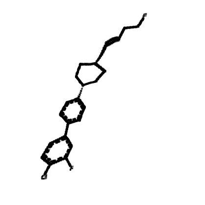 FCC/C=C/[C@H]1CC[C@H](c2ccc(-c3ccc(Cl)c(F)c3)cc2)CC1